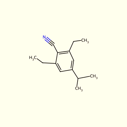 CCc1cc(C(C)C)cc(CC)c1C#N